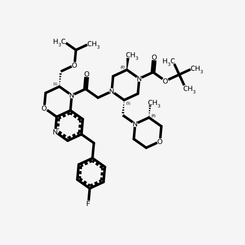 CC(C)OC[C@H]1COc2ncc(Cc3ccc(F)cc3)cc2N1C(=O)CN1C[C@@H](C)N(C(=O)OC(C)(C)C)C[C@@H]1CN1CCOC[C@H]1C